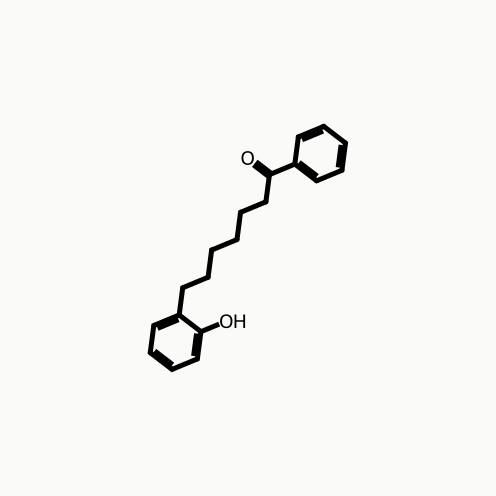 O=C(CCCCCCc1ccccc1O)c1ccccc1